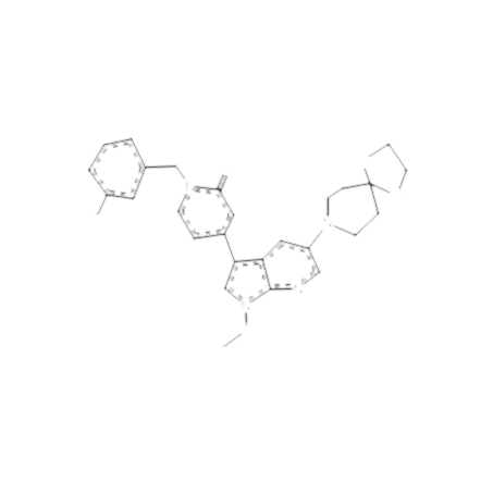 O=c1cc(-c2cn(SI)c3ncc(N4CCC5(CC4)OCCO5)cc23)ccn1Cc1cccc(Cl)c1